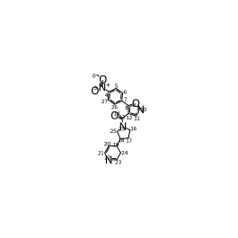 CO[N+](=O)c1ccc(-c2oncc2C(=O)N2CCC(C3C=CN=CC3)C2)cc1